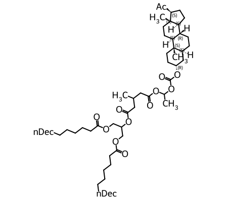 CCCCCCCCCCCCCCCC(=O)OCC(COC(=O)CCCCCCCCCCCCCCC)OC(=O)CC(C)CC(=O)OC(C)OC(=O)O[C@@H]1CC[C@@]2(C)[C@@H](CC[C@@H]3[C@@H]2CC[C@]2(C)[C@@H](C(C)=O)CC[C@@H]32)C1